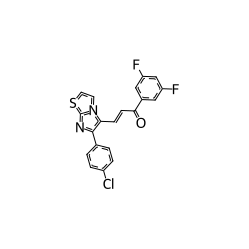 O=C(/C=C/c1c(-c2ccc(Cl)cc2)nc2sccn12)c1cc(F)cc(F)c1